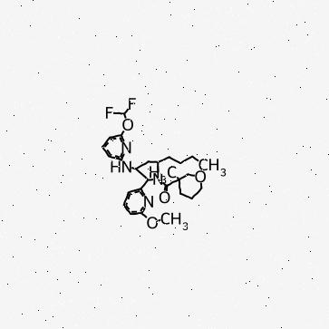 CCCCC1CC(Nc2cccc(OC(F)F)n2)C(c2cccc(OC)n2)N1C(=O)C1(C)CCCOC1